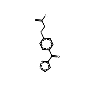 C=C(CC)COc1ccc(C(=O)c2ccon2)cc1